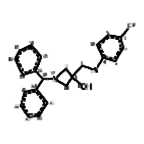 OC1(CSc2ccc(F)cc2)CN(C(c2ccccc2)c2ccccc2)C1